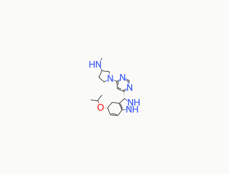 CNC1CCN(c2cc([C@@H]3NNC4=C3C[C@@H](OC(C)C)C=C4)ncn2)C1